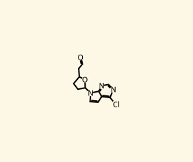 O=CCC1CCC(n2ccc3c(Cl)ncnc32)O1